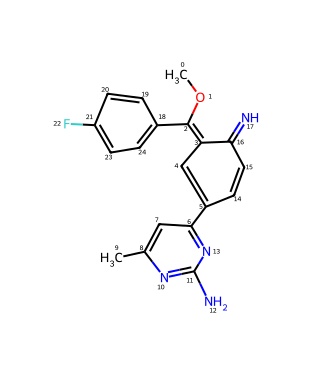 CO/C(=C1/C=C(c2cc(C)nc(N)n2)C=CC1=N)c1ccc(F)cc1